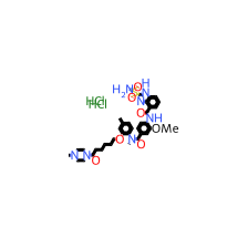 COc1cc(C(=O)N(C)c2ccc(C)cc2OCCCCCC(=O)N2CCN(C)CC2)ccc1NC(=O)c1cccc2[nH]c(S(N)(=O)=O)nc12.Cl.Cl